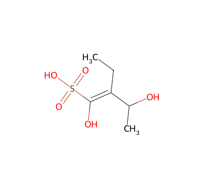 CCC(=C(O)S(=O)(=O)O)C(C)O